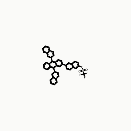 O=S(=O)(Oc1ccc2cc(-c3ccc4c(-c5ccc6ccccc6c5)c5ccccc5c(-c5ccc6ccccc6c5)c4c3)ccc2c1)C(F)(F)F